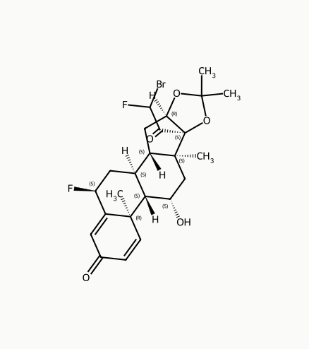 CC1(C)O[C@@H]2C[C@H]3[C@@H]4C[C@H](F)C5=CC(=O)C=C[C@]5(C)[C@H]4[C@@H](O)C[C@]3(C)[C@]2(C(=O)C(F)Br)O1